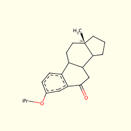 CC(C)Oc1ccc2c(c1)C(=O)CC1C2CC[C@]2(C)CCCC12